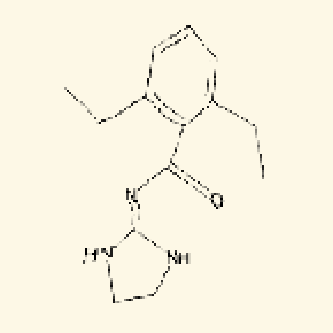 CCc1cccc(CC)c1C(=O)N=C1NCCN1